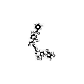 O=C(Nc1ccn(/C(=C/O)OCCO[PH](=O)O[C@@H]2C[C@H](n3cc(F)c(=O)[nH]c3=O)O[C@@H]2CO)c(=O)n1)c1ccccc1